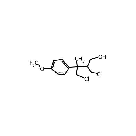 CC(CCl)(c1ccc(OC(F)(F)F)cc1)C(CO)CCl